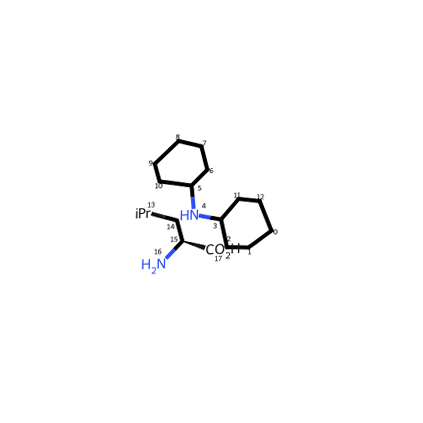 C1CCC(NC2CCCCC2)CC1.CC(C)C[C@H](N)C(=O)O